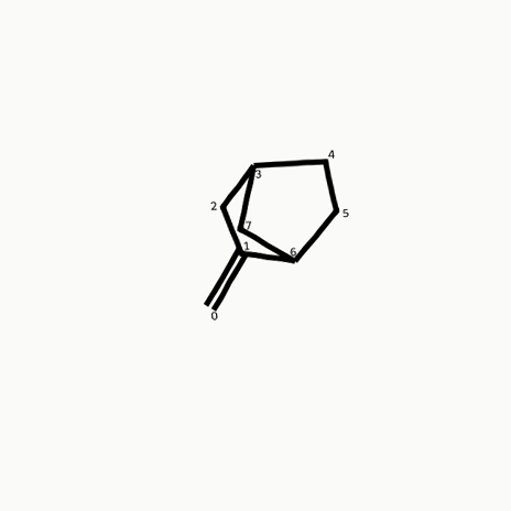 C=C1CC2CCC1C2